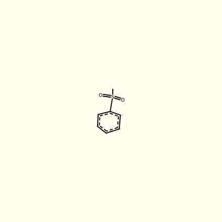 CS(=O)(=O)c1[c][c]ccc1